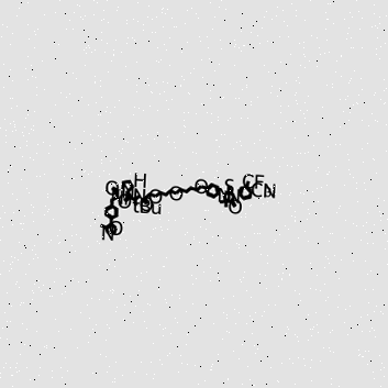 Cc1ncoc1-c1ccc(CNC(=O)[C@@H]2CCCN2C(=O)C(NC(=O)COCCCOCCCCOc2ccc(N3C(=S)N(c4ccc(C#N)c(C(F)(F)F)c4)C(=O)C3(C)C)cc2)C(C)(C)C)cc1